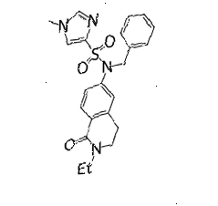 CCN1CCc2cc(N(Cc3ccccc3)S(=O)(=O)c3cn(C)cn3)ccc2C1=O